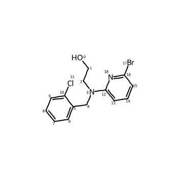 OCCN(Cc1ccccc1Cl)c1cccc(Br)n1